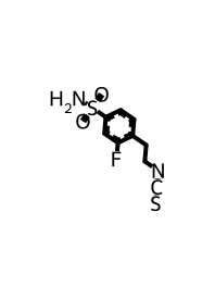 NS(=O)(=O)c1ccc(CCN=C=S)c(F)c1